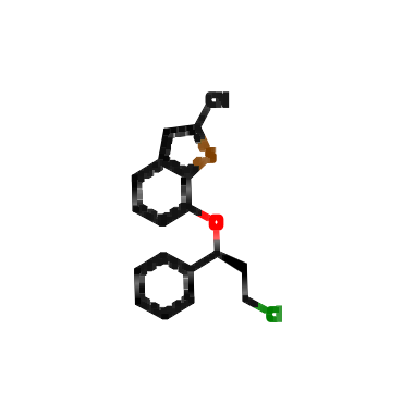 N#Cc1cc2cccc(O[C@@H](CCCl)c3ccccc3)c2s1